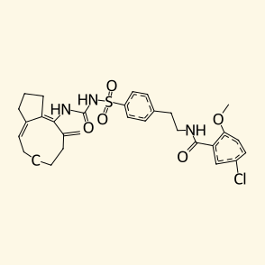 C=C1CCCC/C=C2/CCC/C2=C/1NC(=O)NS(=O)(=O)c1ccc(CCNC(=O)c2cc(Cl)ccc2OC)cc1